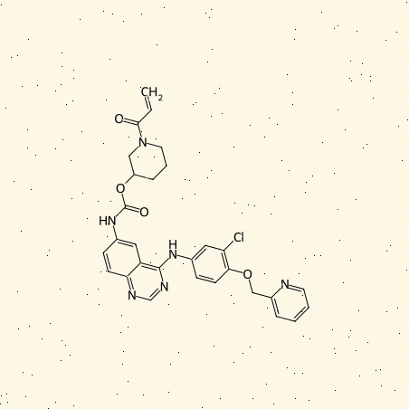 C=CC(=O)N1CCCC(OC(=O)Nc2ccc3ncnc(Nc4ccc(OCc5ccccn5)c(Cl)c4)c3c2)C1